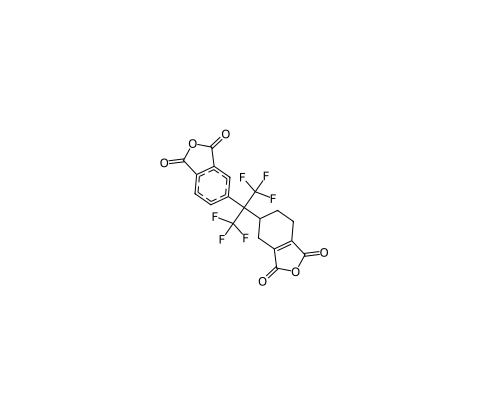 O=C1OC(=O)C2=C1CCC(C(c1ccc3c(c1)C(=O)OC3=O)(C(F)(F)F)C(F)(F)F)C2